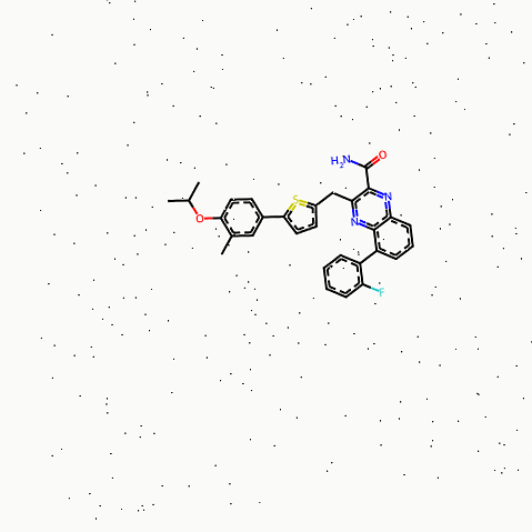 Cc1cc(-c2ccc(Cc3nc4c(-c5ccccc5F)cccc4nc3C(N)=O)s2)ccc1OC(C)C